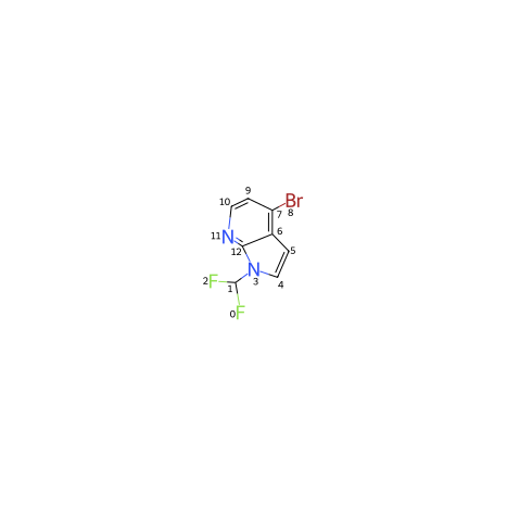 FC(F)n1ccc2c(Br)ccnc21